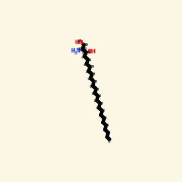 CCCCCCCCCCCCCCCCCCCCCCCC[C@@H](O)[C@@H](N)CO